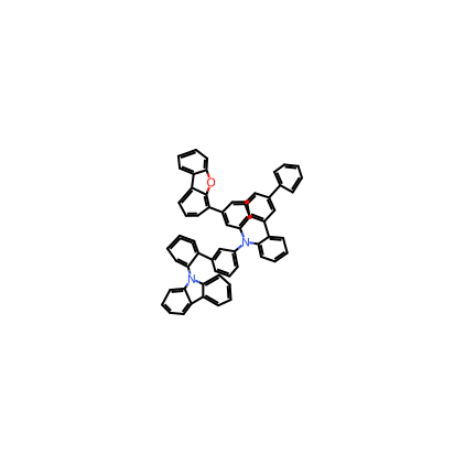 C1=C=C(c2cccc(N(c3cccc(-c4cccc5c4oc4ccccc45)c3)c3ccccc3-c3cccc(-c4ccccc4)c3)c2)C(n2c3ccccc3c3ccccc32)=CC=1